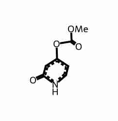 COC(=O)Oc1cc[nH]c(=O)c1